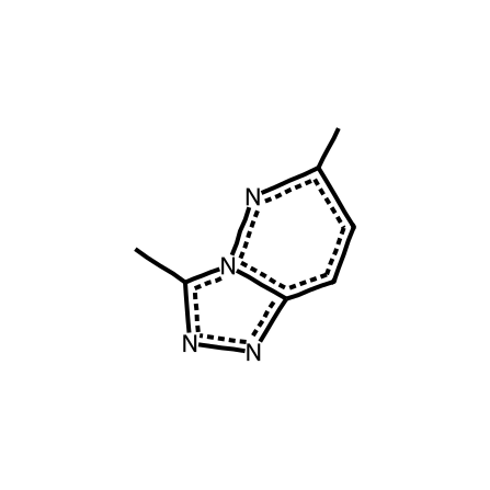 Cc1ccc2nnc(C)n2n1